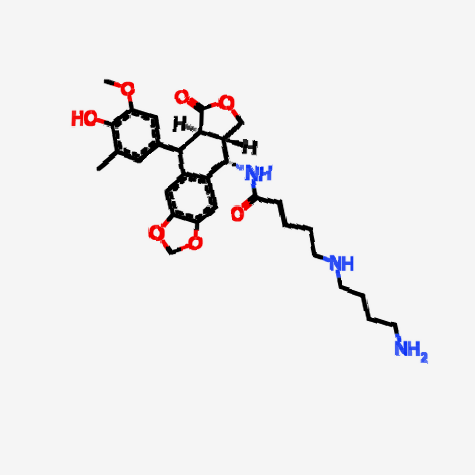 COc1cc(C2c3cc4c(cc3[C@@H](NC(=O)CCCCNCCCCN)[C@H]3COC(=O)[C@H]23)OCO4)cc(C)c1O